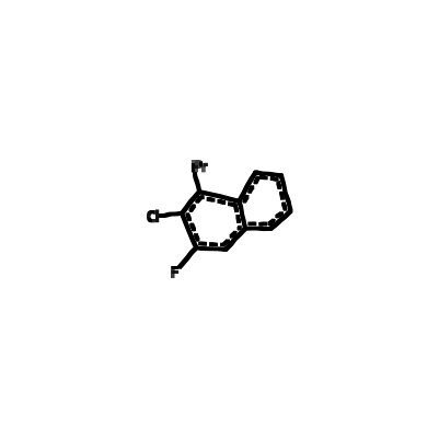 CC(C)c1c(Cl)c(F)cc2ccccc12